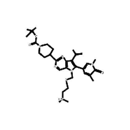 Cc1cc(-c2c(C(C)C)c3nc(C4CCN(C(=O)OC(C)(C)C)CC4)ncc3n2COCC[SiH](C)C)cn(C)c1=O